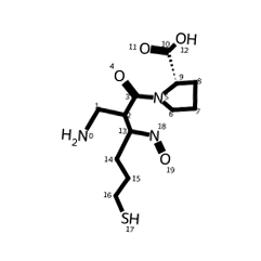 NCC(C(=O)N1CCC[C@H]1C(=O)O)C(CCCS)N=O